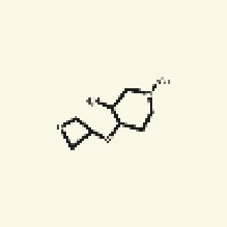 CCCCN1CCC(OC2COC2)C(N)C1